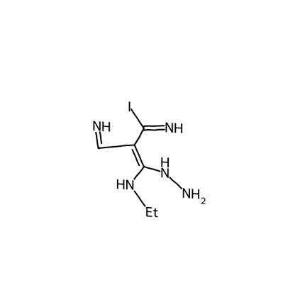 CCN/C(NN)=C(\C=N)C(=N)I